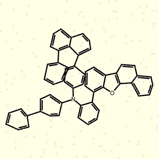 c1ccc(-c2ccc(N(c3ccc(-c4cccc5cccc(-c6ccccc6)c45)cc3)c3ccccc3-c3cccc4c3oc3c5ccccc5ccc43)cc2)cc1